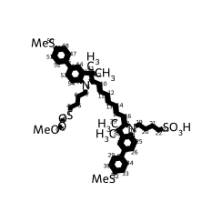 COOOSCCCC[N+]1=C(/C=C/C=C/C=C/C=C2/N(CCCCS(=O)(=O)O)c3ccc(-c4ccc(SC)cc4)cc3C2(C)C)C(C)(C)c2cc(-c3ccc(SC)cc3)ccc21